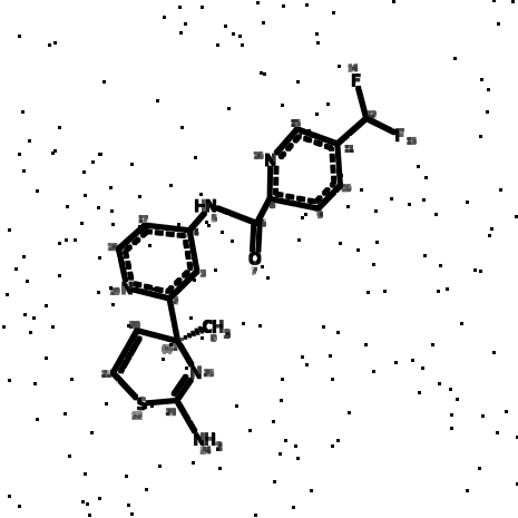 C[C@@]1(c2cc(NC(=O)c3ccc(C(F)F)cn3)ccn2)C=CSC(N)=N1